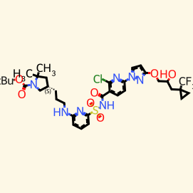 CC(C)(C)OC(=O)N1C[C@@H](CCCNc2cccc(S(=O)(=O)NC(=O)c3ccc(-n4ccc(OCC(O)CC5(C(F)(F)F)CC5)n4)nc3Cl)n2)CC1(C)C